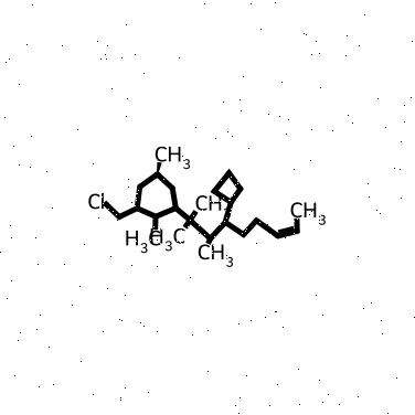 C/C=C\CCC(C1CCC1)C(C)C(C)(C)C1C[C@H](C)CC(CCl)C1C